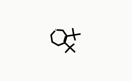 CC(C)(C)C1=C(C(C)(C)C)CSCCC1